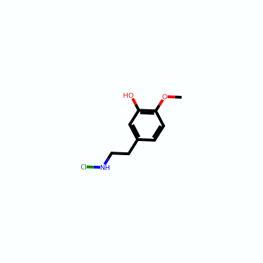 COc1ccc(CCNCl)cc1O